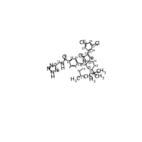 CC(C)CC[C@H](c1ccc(C(=O)NCc2nn[nH]n2)cc1)N1C(=O)C(c2cc(Cl)cc(Cl)c2)=NC12CCC(C(C)(C)C)CC2